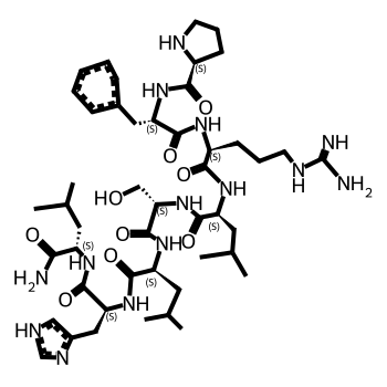 CC(C)C[C@H](NC(=O)[C@H](Cc1c[nH]cn1)NC(=O)[C@H](CC(C)C)NC(=O)[C@H](CO)NC(=O)[C@H](CC(C)C)NC(=O)[C@H](CCCNC(=N)N)NC(=O)[C@H](Cc1ccccc1)NC(=O)[C@@H]1CCCN1)C(N)=O